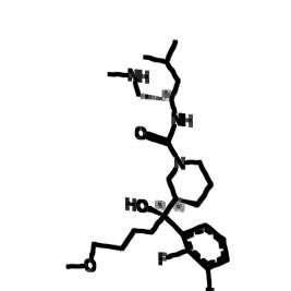 CNC[C@H](CC(C)C)NC(=O)N1CCC[C@@H]([C@@](O)(CCCCOC)c2cccc(F)c2F)C1